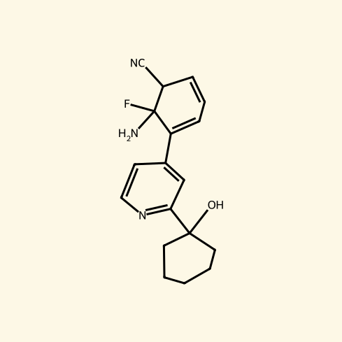 N#CC1C=CC=C(c2ccnc(C3(O)CCCCC3)c2)C1(N)F